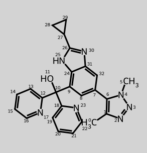 Cc1nnn(C)c1-c1cc(C(O)(c2ccccn2)c2ccccn2)c2[nH]c(C3CC3)nc2c1